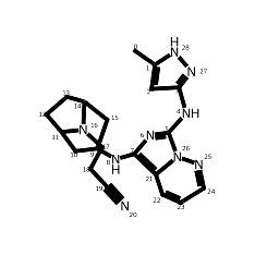 Cc1cc(Nc2nc(NC3CC4CCC(C3)N4CCC#N)c3cccnn23)n[nH]1